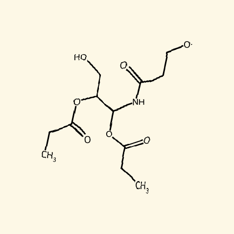 CCC(=O)OC(CO)C(NC(=O)CC[O])OC(=O)CC